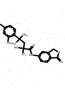 CC(C)(CC(O)(C(=O)Nc1ccc2c(c1)COC2=O)C(F)(F)F)c1ccc(F)cc1O